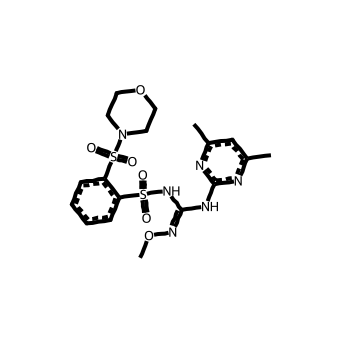 CON=C(Nc1nc(C)cc(C)n1)NS(=O)(=O)c1ccccc1S(=O)(=O)N1CCOCC1